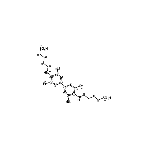 CCc1cc(-c2cc(CC)c(NCCCCS(=O)(=O)O)c(CC)c2)cc(CC)c1NCCCCS(=O)(=O)O